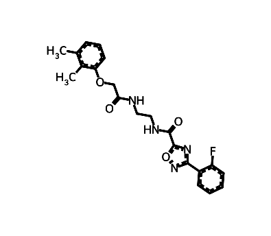 Cc1cccc(OCC(=O)NCCNC(=O)c2nc(-c3ccccc3F)no2)c1C